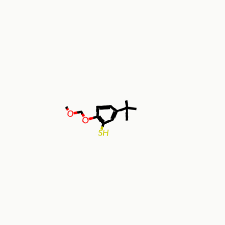 COCOc1ccc(C(C)(C)C)cc1S